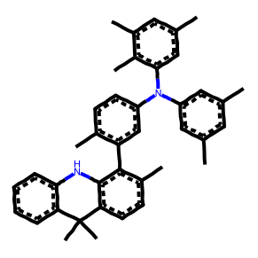 Cc1cc(C)cc(N(c2ccc(C)c(-c3c(C)ccc4c3Nc3ccccc3C4(C)C)c2)c2cc(C)cc(C)c2C)c1